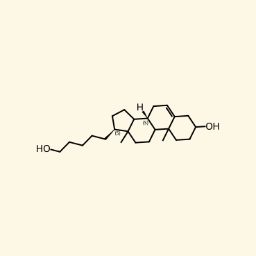 CC12CCC(O)CC1=CC[C@@H]1C2CCC2(C)C1CC[C@@H]2CCCCCO